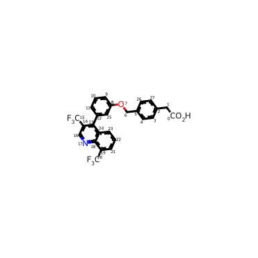 O=C(O)Cc1ccc(COc2cccc(-c3c(C(F)(F)F)cnc4c(C(F)(F)F)cccc34)c2)cc1